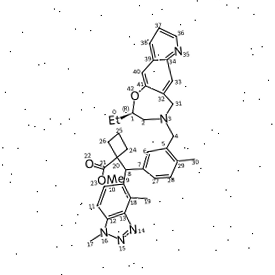 CC[C@@H]1CN(Cc2cc(C(c3ccc4c(nnn4C)c3C)C3(C(=O)OC)CCC3)ccc2C)Cc2cc3ncccc3cc2O1